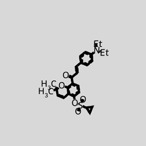 CCN(CC)c1ccc(/C=C/C(=O)c2ccc(OS(=O)(=O)C3CC3)c3c2OC(C)(C)C=C3)cc1